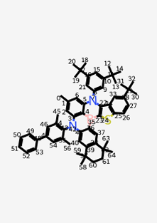 Cc1cc2c3c(c1)N(c1cc(C(C)(C)C)cc(C(C)(C)C)c1)c1c(sc4ccc(C(C)(C)C)cc14)B3c1cc3c(cc1N2c1c(C)cc(-c2ccccc2)cc1C)C(C)(C)CCC3(C)C